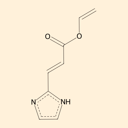 C=COC(=O)C=Cc1ncc[nH]1